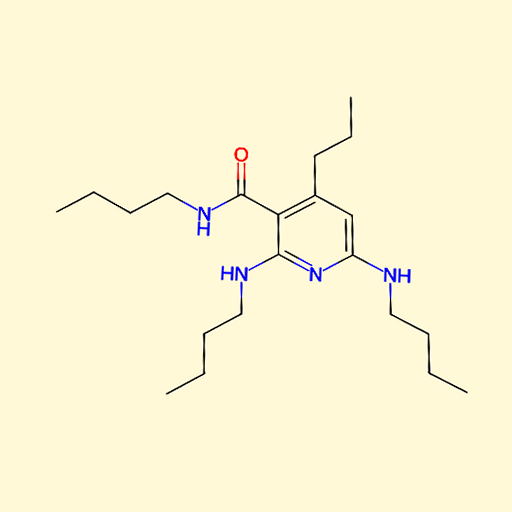 CCCCNC(=O)c1c(CCC)cc(NCCCC)nc1NCCCC